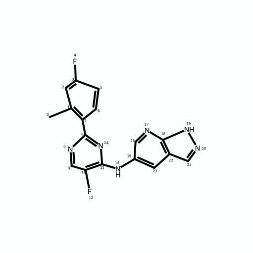 Cc1cc(F)ccc1-c1ncc(F)c(Nc2cnc3[nH]ncc3c2)n1